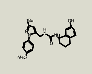 COc1ccc(-n2nc(C(C)(C)C)cc2CNC(=O)NC2CCCc3ccc(O)cc32)cc1